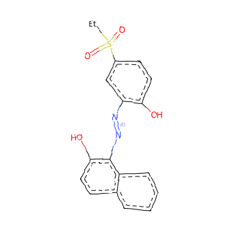 CCS(=O)(=O)c1ccc(O)c(/N=N/c2c(O)ccc3ccccc23)c1